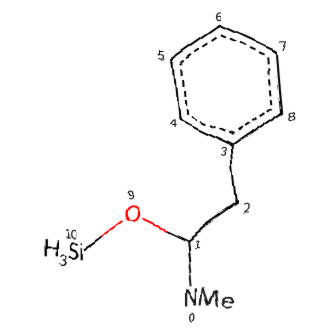 CNC(Cc1ccccc1)O[SiH3]